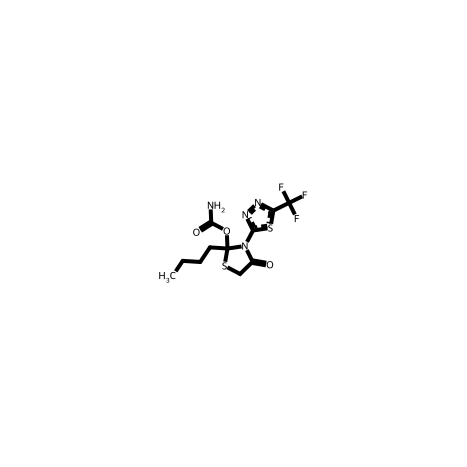 CCCCC1(OC(N)=O)SCC(=O)N1c1nnc(C(F)(F)F)s1